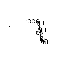 N=[N+]=NCCCC(=O)NCCCNC(=O)[O-]